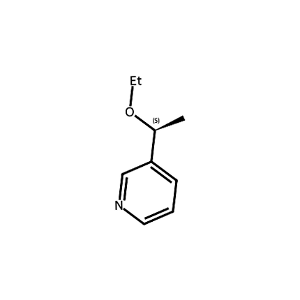 CCO[C@@H](C)c1cccnc1